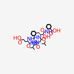 CC(C)C[C@H](NC(=O)[C@@H](NC(=O)[C@@H](N)CCC(=O)O)C(C)C)C(=O)N[C@@H](Cc1ccccc1)[C@@H](O)C(=O)Nc1ccccc1C(=O)O